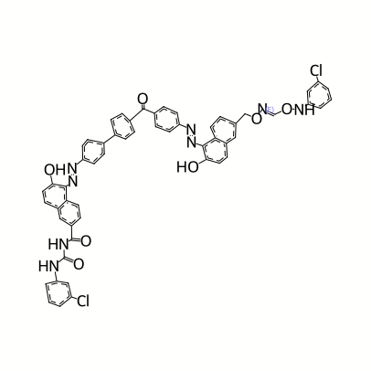 O=C(NC(=O)c1ccc2c(N=Nc3ccc(-c4ccc(C(=O)c5ccc(N=Nc6c(O)ccc7cc(CO/N=C/ONc8cccc(Cl)c8)ccc67)cc5)cc4)cc3)c(O)ccc2c1)Nc1cccc(Cl)c1